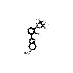 CC1(C)OB(c2cccc(-c3nc4c(s3)CN(C(=O)O)CC4)c2C(F)(F)F)OC1(C)C